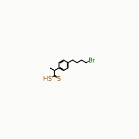 CC(C(=S)S)c1ccc(CCCCBr)cc1